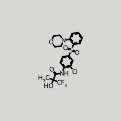 CC(O)(C(=O)Nc1ccc(S(=O)(=O)c2ccccc2N2CCOCC2)cc1Cl)C(F)(F)F